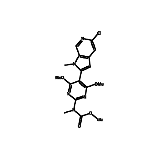 COc1nc(N(C)C(=O)OC(C)(C)C)nc(OC)c1-c1cc2cc(Cl)ncc2n1C